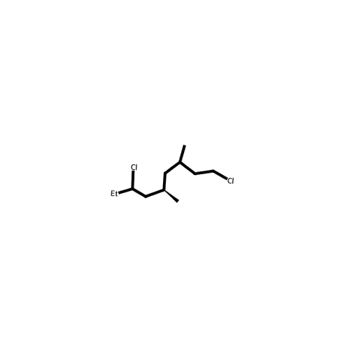 CCC(Cl)C[C@H](C)CC(C)CCCl